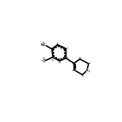 N#Cc1ccc(C2=CC[N]CC2)cc1Cl